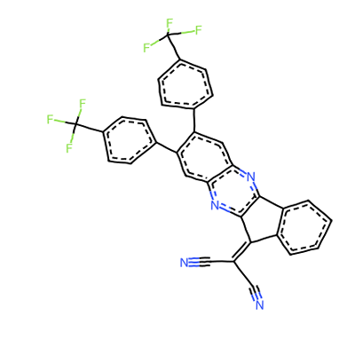 N#CC(C#N)=C1c2ccccc2-c2nc3cc(-c4ccc(C(F)(F)F)cc4)c(-c4ccc(C(F)(F)F)cc4)cc3nc21